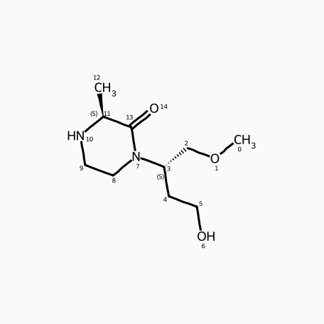 COC[C@H](CCO)N1CCN[C@@H](C)C1=O